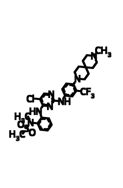 CN1CCC2(CC1)CCN(c1ccc(Nc3ncc(Cl)c(Nc4ccccc4N(C)S(C)(=O)=O)n3)cc1C(F)(F)F)CC2